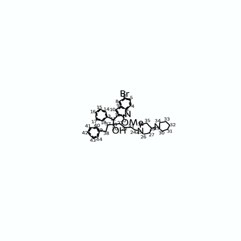 COc1nc2ccc(Br)cc2cc1C(c1ccccc1)C(O)(CCCCN1CCC(N2CCCCC2)CC1)CCc1ccccc1